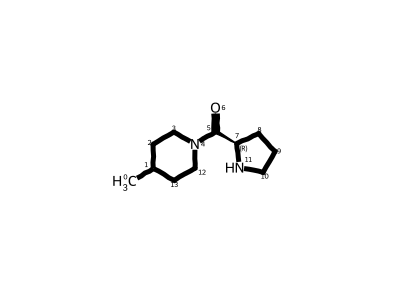 CC1CCN(C(=O)[C@H]2CCCN2)CC1